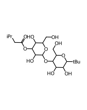 CC(C)CC(=O)OC1C(O)C(CO)OC(OC2C(CO)OC(C(C)(C)C)C(O)C2O)C1O